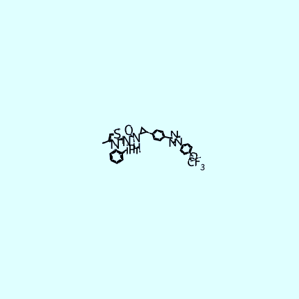 Cc1cs/c(=N\C(=O)NC2CC2c2ccc(-c3ncn(-c4ccc(OC(F)(F)F)cc4)n3)cc2)n1-c1ccccc1C(C)C